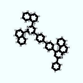 c1ccc(-c2cc(-c3ccc(-c4ccc(-c5cc(-c6cccc7ccccc67)nc(-c6cccc7ccccc67)n5)cc4)cc3)c3c(ccc4ccccc43)n2)cc1